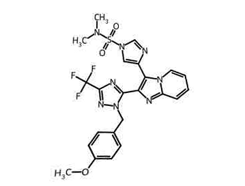 COc1ccc(Cn2nc(C(F)(F)F)nc2-c2nc3ccccn3c2-c2cn(S(=O)(=O)N(C)C)cn2)cc1